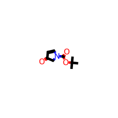 CC(C)(C)OC(=O)N1C=CC(=O)C1